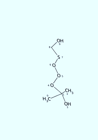 CC(C)(O)OOOSCO